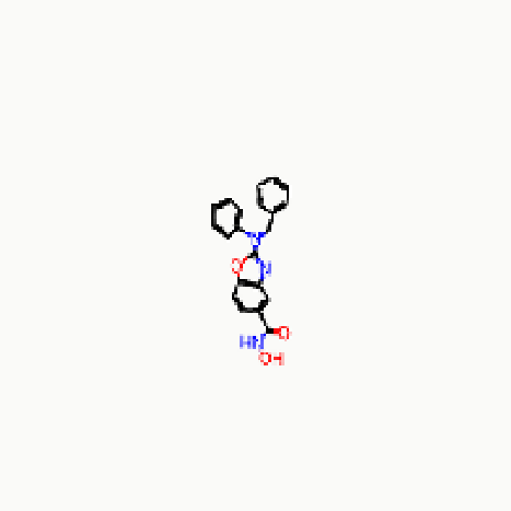 O=C(NO)c1ccc2oc(N(Cc3ccccc3)c3ccccc3)nc2c1